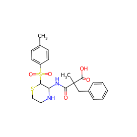 Cc1ccc(S(=O)(=O)C2SCCNC2NC(=O)C(C)(Cc2ccccc2)C(=O)O)cc1